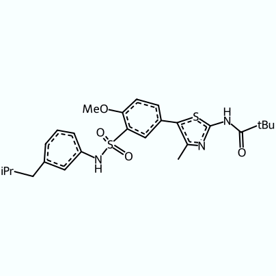 COc1ccc(-c2sc(NC(=O)C(C)(C)C)nc2C)cc1S(=O)(=O)Nc1cccc(CC(C)C)c1